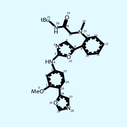 COc1cc(Nc2ncc(-c3ccccc3N(C)CC(=O)NC(C)(C)C)o2)ccc1-c1cnco1